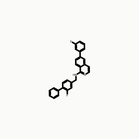 Fc1cccc(-c2ccc3c(NCc4ccc(-c5ccccc5)c(F)c4)nccc3c2)c1